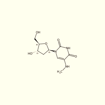 CNc1cn([C@H]2C[C@H](O)[C@@H](CO)O2)c(=O)[nH]c1=O